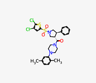 Cc1ccc(C)c(N2CCN(C(=O)[C@@H]3CN(S(=O)(=O)c4cc(Cl)c(Cl)s4)C[C@H]3c3ccccc3)CC2)c1